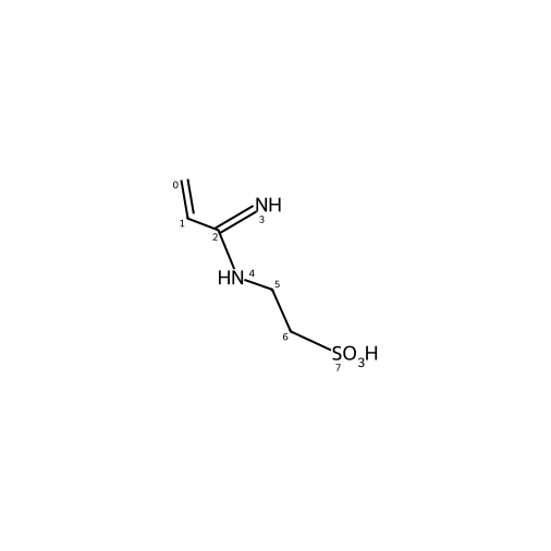 C=CC(=N)NCCS(=O)(=O)O